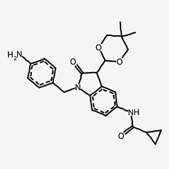 CC1(C)COC(C2C(=O)N(Cc3ccc(N)cc3)c3ccc(NC(=O)C4CC4)cc32)OC1